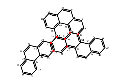 c1ccc(-c2cccc3ccc4cccc(N(c5ccc6c(ccc7ccccc76)c5)c5ccc6c(ccc7ccccc76)c5)c4c23)cc1